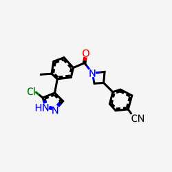 Cc1ccc(C(=O)N2CC(c3ccc(C#N)cc3)C2)cc1-c1cn[nH]c1Cl